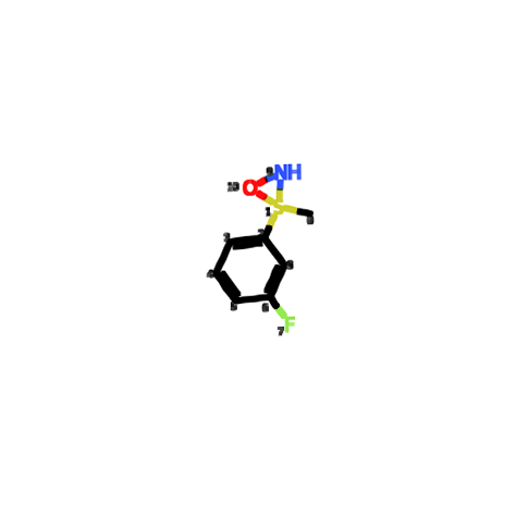 CS1(c2cccc(F)c2)NO1